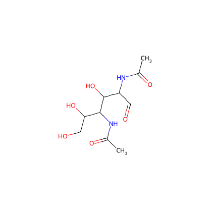 CC(=O)NC(C=O)C(O)C(NC(C)=O)C(O)CO